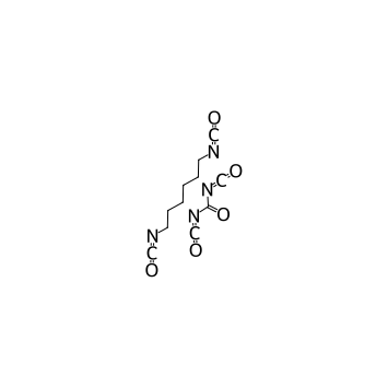 O=C=NC(=O)N=C=O.O=C=NCCCCCCN=C=O